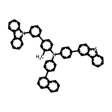 Cc1cc(-c2cccc(-n3c4ccccc4c4ccccc43)c2)ccc1N(c1ccc(-c2ccc3sc4ccccc4c3c2)cc1)c1ccc(-c2cccc3ccccc23)cc1